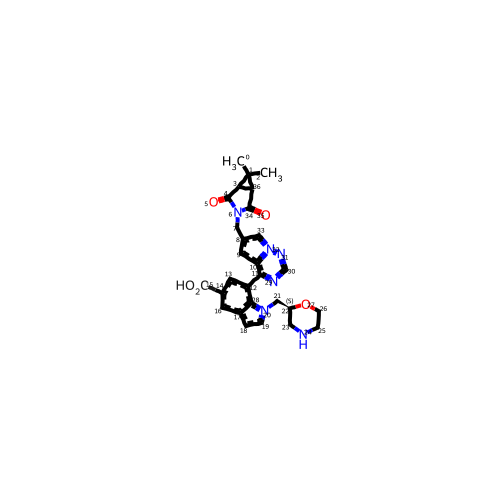 CC1(C)C2C(=O)N(Cc3cc4c(-c5cc(C(=O)O)cc6ccn(C[C@@H]7CNCCO7)c56)ncnn4c3)C(=O)C21